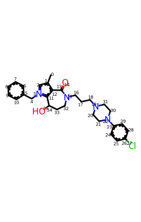 Cc1cn(Cc2ccccc2)c2c1C(=O)N(CCCN1CCN(c3ccc(Cl)cc3)CC1)CCC2O